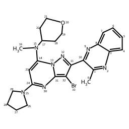 Cc1nc2ccccc2nc1-c1nn2c(N(C)C3CCOCC3)cc(N3CCCC3)nc2c1Br